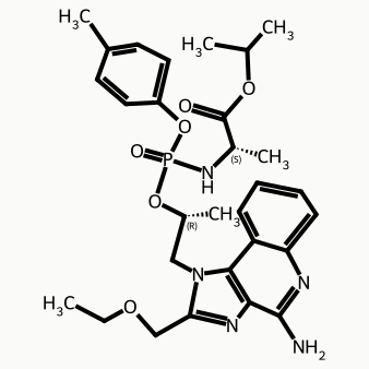 CCOCc1nc2c(N)nc3ccccc3c2n1C[C@@H](C)OP(=O)(N[C@@H](C)C(=O)OC(C)C)Oc1ccc(C)cc1